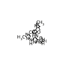 [2H]C([2H])([2H])NC(=O)c1cnc(Nc2cc(C)nc(C)n2)cc1Nc1cccc2c1OCc1cn(C)nc1-2